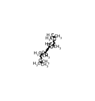 CC(C)(C)OCCC(C)(C)OC(=O)C#CC(=O)OC(C)(C)CCOC(C)(C)C